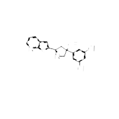 FC(F)(F)C1(c2cc(Cl)cc(Cl)c2)CN=C(c2cc3cccnc3s2)C1